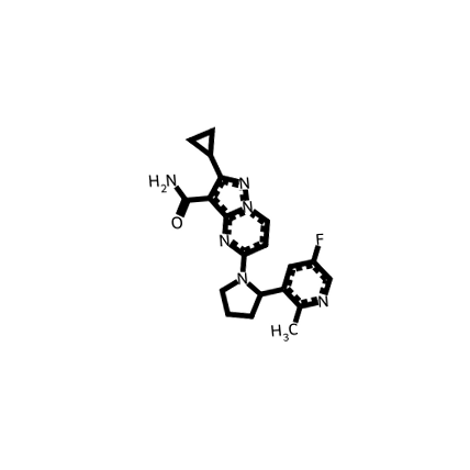 Cc1ncc(F)cc1C1CCCN1c1ccn2nc(C3CC3)c(C(N)=O)c2n1